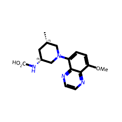 COc1ccc(N2C[C@@H](C)C[C@@H](NC(=O)O)C2)c2nccnc12